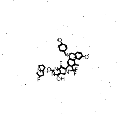 COc1ccc(CN(Cc2ccc(OC)cc2)c2cc(-c3ncc4c(O)nc(OC[C@@]56CCCN5C[C@H](F)C6)nc4c3F)c(C(F)(F)F)c(C)c2F)cc1